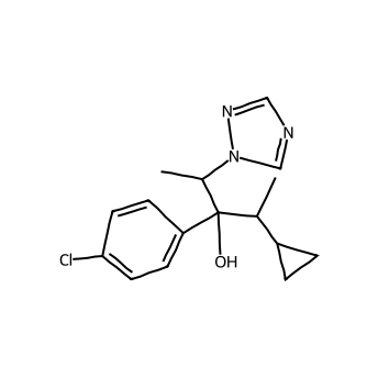 CC(C1CC1)C(O)(c1ccc(Cl)cc1)C(C)n1cncn1